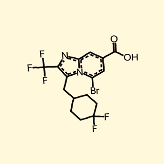 O=C(O)c1cc(Br)n2c(CC3CCC(F)(F)CC3)c(C(F)(F)F)nc2c1